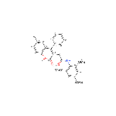 COc1cc(OC)c(NC(=O)Cc2c(-c3ccccc3)c3cc(C)ccc3oc2=O)c(OC)c1